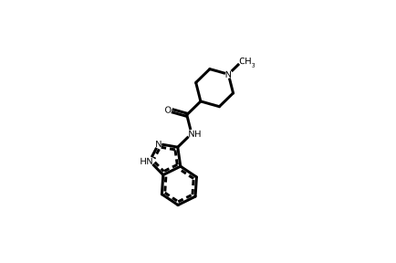 CN1CCC(C(=O)Nc2n[nH]c3ccccc23)CC1